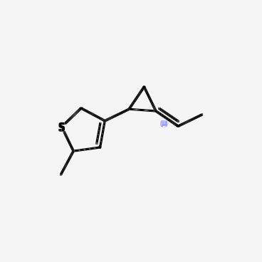 C/C=C1\CC1C1=CC(C)SC1